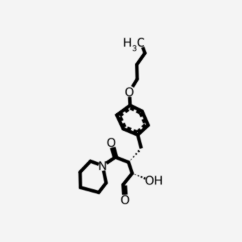 CCCCOc1ccc(C[C@@H](C(=O)N2CCCCC2)[C@H](O)C=O)cc1